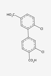 O=C(O)c1ccc(Cl)c(-c2ccc(C(=O)O)c(Cl)c2)c1